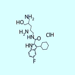 Cl.NCC(CO)C[C@@H](N)CNC(=O)c1[nH]c2ccc(F)cc2c1C1CCCCC1